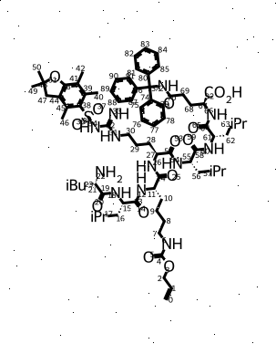 C=CCOC(=O)NCCCC[C@H](NC(=O)[C@H](CC(C)C)NC(=O)[C@@H](N)[C@@H](C)CC)C(=O)N[C@@H](CCCNC(=N)NS(=O)(=O)c1c(C)c(C)c2c(c1C)CC(C)(C)O2)C(=O)N[C@@H](CC(C)C)C(=O)N[C@@H](CC(C)C)C(=O)N[C@@H](CCC(=O)NC(c1ccccc1)(c1ccccc1)c1ccccc1)C(=O)O